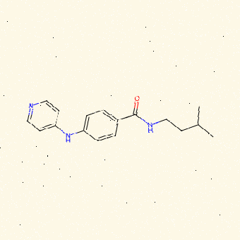 CC(C)CCNC(=O)c1ccc(Nc2ccncc2)cc1